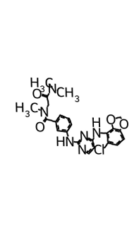 CN(C)C(=O)CN(C)C(=O)c1cccc(Nc2nccc(Nc3c(Cl)ccc4c3OCO4)n2)c1